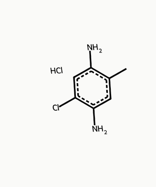 Cc1cc(N)c(Cl)cc1N.Cl